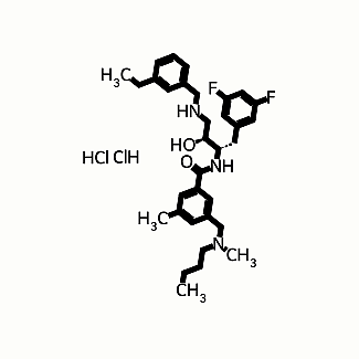 CCCCN(C)Cc1cc(C)cc(C(=O)N[C@@H](Cc2cc(F)cc(F)c2)[C@@H](O)CNCc2cccc(CC)c2)c1.Cl.Cl